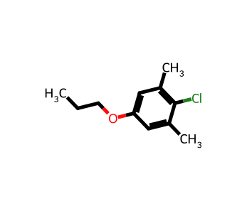 CCCOc1cc(C)c(Cl)c(C)c1